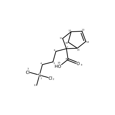 C[Si](Cl)(Cl)CCCC1(C(=O)O)CC2C=CC1C2